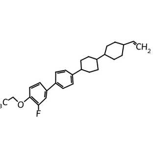 C=CC1CCC(C2CCC(c3ccc(-c4ccc(OCC)c(F)c4)cc3)CC2)CC1